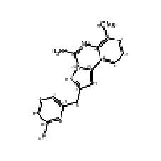 COc1cccc2c1nc(N)n1nc(Cc3cccc(F)c3)cc21